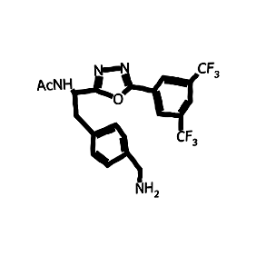 CC(=O)NC(Cc1ccc(CN)cc1)c1nnc(-c2cc(C(F)(F)F)cc(C(F)(F)F)c2)o1